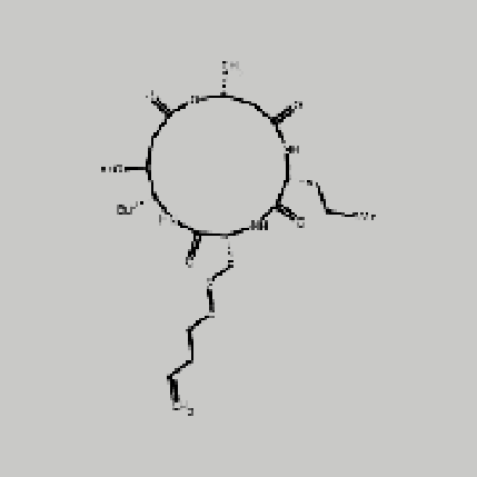 C=CCCSSC[C@H]1NC(=O)[C@@H](CCSC)NC(=O)C[C@@H](C)OC(=O)C[C@H](OC(C)=O)[C@@H](C(C)CC)NC1=O